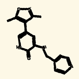 Cc1noc(C)c1-c1c[nH]c(=O)c(NCc2ccncc2)c1